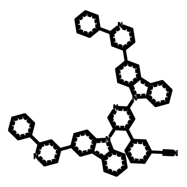 N#Cc1cccc(-c2cc(-n3c4ccccc4c4cc(-c5ccnc(-c6ccccc6)c5)ccc43)ncc2-n2c3ccccc3c3cc(-c4ccnc(-c5ccccc5)c4)ccc32)c1